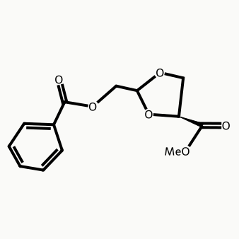 COC(=O)[C@@H]1COC(COC(=O)c2ccccc2)O1